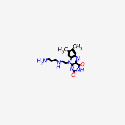 Cc1cc2nc3c(=O)[nH]c(=O)nc-3n(CCNCCCN)c2cc1C